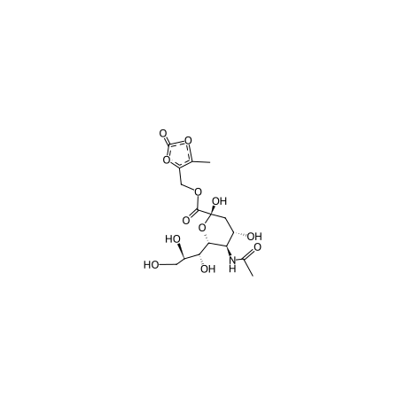 CC(=O)N[C@H]1[C@H]([C@H](O)[C@H](O)CO)O[C@](O)(C(=O)OCc2oc(=O)oc2C)C[C@@H]1O